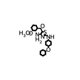 COc1cccc(C(=O)c2sc(Nc3ccc(Oc4ccccc4)cc3)nc2N)c1